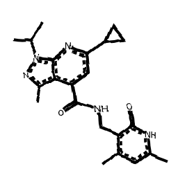 Cc1cc(C)c(CNC(=O)c2cc(C3CC3)nc3c2c(C)nn3C(C)C)c(=O)[nH]1